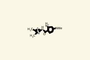 CNc1ccc(C(=O)Nc2nc(C)c(C)s2)c(N)c1